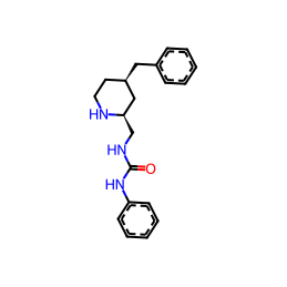 O=C(NC[C@@H]1C[C@H](Cc2ccccc2)CCN1)Nc1ccccc1